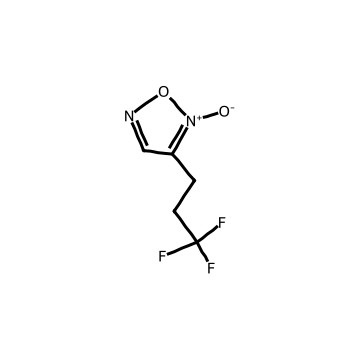 [O-][n+]1oncc1CCC(F)(F)F